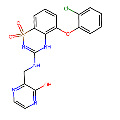 O=S1(=O)N=C(NCc2nccnc2O)Nc2c(Oc3ccccc3Cl)cccc21